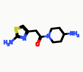 Nc1nc(CC(=O)N2CCC(N)CC2)cs1